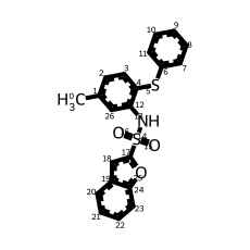 Cc1ccc(Sc2ccccc2)c(NS(=O)(=O)c2cc3ccccc3o2)c1